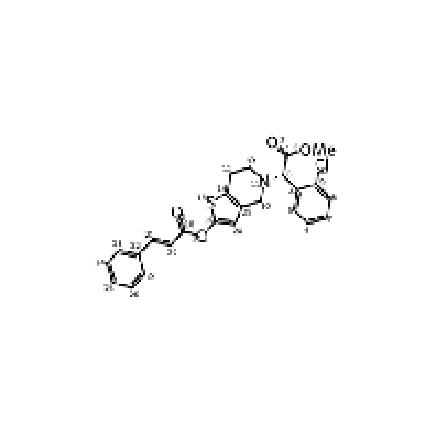 COC(=O)[C@H](c1ccccc1Cl)N1CCc2sc(OC(=O)/C=C/c3ccccc3)cc2C1